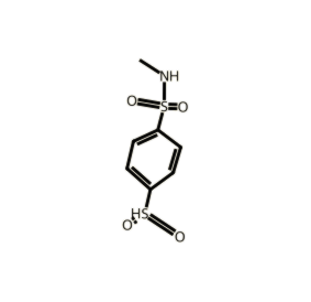 CNS(=O)(=O)c1ccc([SH](=O)=O)cc1